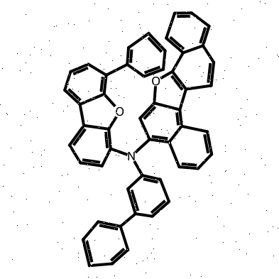 c1ccc(-c2cccc(N(c3cc4oc5c6ccccc6ccc5c4c4ccccc34)c3cccc4c3oc3c(-c5ccccc5)cccc34)c2)cc1